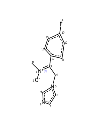 C/[N+]([O-])=C(/Cn1ccnc1)c1ccc(F)cc1